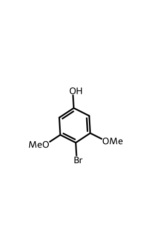 COc1cc(O)cc(OC)c1Br